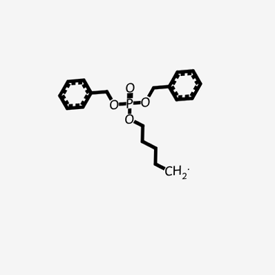 [CH2]CCCCOP(=O)(OCc1ccccc1)OCc1ccccc1